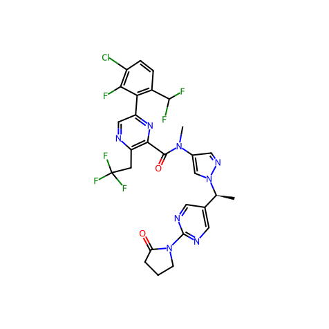 C[C@@H](c1cnc(N2CCCC2=O)nc1)n1cc(N(C)C(=O)c2nc(-c3c(C(F)F)ccc(Cl)c3F)cnc2CC(F)(F)F)cn1